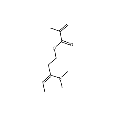 C=C(C)C(=O)OCCC(=CC)N(C)C